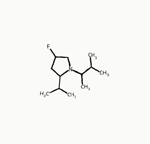 CC(C)C(C)N1CC(F)CC1C(C)C